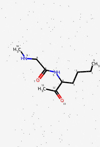 CCCCC(NC(=O)CNC)C(C)=O